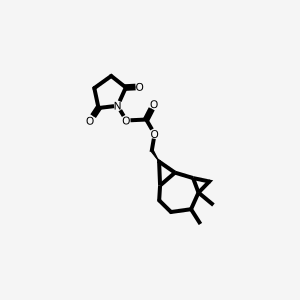 CC1CCC2C(C3CC13C)[C@@H]2COC(=O)ON1C(=O)CCC1=O